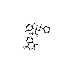 Cc1ccc(C)c(C2(C(=O)Nc3ccc4c(=O)onc(C)c4c3)CC(C)(c3ccccc3)O2)c1